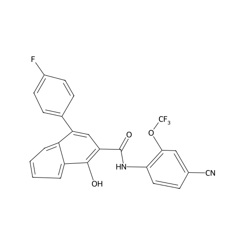 N#Cc1ccc(NC(=O)c2cc(-c3ccc(F)cc3)c3ccccc3c2O)c(OC(F)(F)F)c1